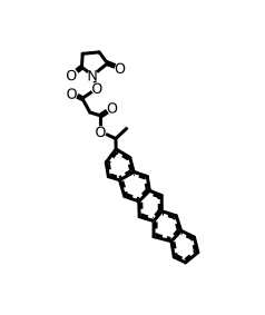 CC(OC(=O)CC(=O)ON1C(=O)CCC1=O)c1ccc2cc3cc4cc5ccccc5cc4cc3cc2c1